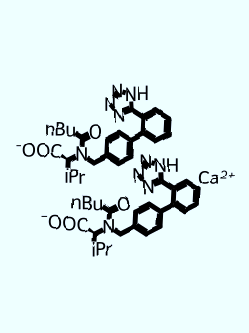 CCCCC(=O)N(Cc1ccc(-c2ccccc2-c2nnn[nH]2)cc1)[C@H](C(=O)[O-])C(C)C.CCCCC(=O)N(Cc1ccc(-c2ccccc2-c2nnn[nH]2)cc1)[C@H](C(=O)[O-])C(C)C.[Ca+2]